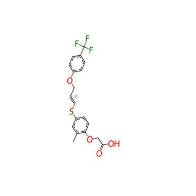 Cc1cc(S/C=C/COc2ccc(C(F)(F)F)cc2)ccc1OCC(=O)O